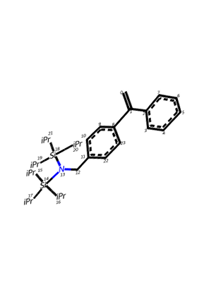 C=C(c1ccccc1)c1ccc(CN([Si](C(C)C)(C(C)C)C(C)C)[Si](C(C)C)(C(C)C)C(C)C)cc1